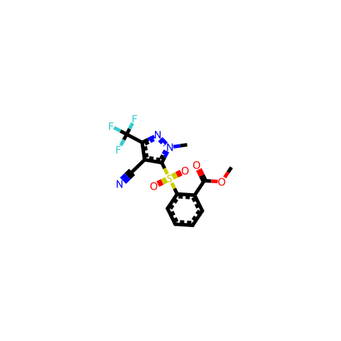 COC(=O)c1ccccc1S(=O)(=O)c1c(C#N)c(C(F)(F)F)nn1C